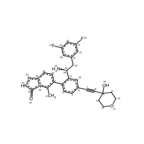 Cc1c(-c2ccc(C#CC3(O)CCOCC3)nc2[C@@H](N)Cc2cc(F)cc(F)c2)ccc2n[nH]c(=O)n12